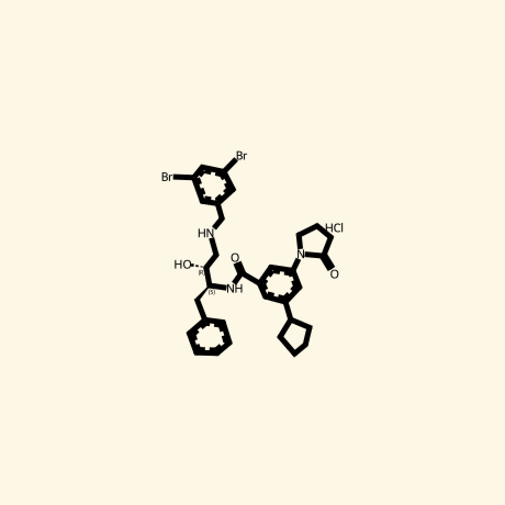 Cl.O=C(N[C@@H](Cc1ccccc1)[C@H](O)CNCc1cc(Br)cc(Br)c1)c1cc(C2CCCC2)cc(N2CCCC2=O)c1